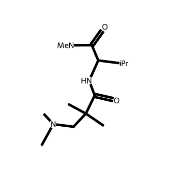 CNC(=O)C(NC(=O)C(C)(C)CN(C)C)C(C)C